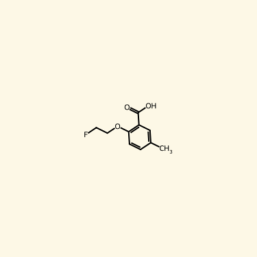 Cc1ccc(OCCF)c(C(=O)O)c1